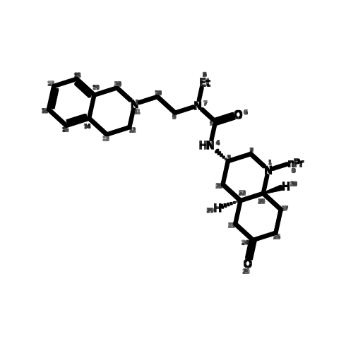 CCCN1C[C@@H](NC(=O)N(CC)CCN2CCc3ccccc3C2)C[C@@H]2CC(=O)CC[C@H]21